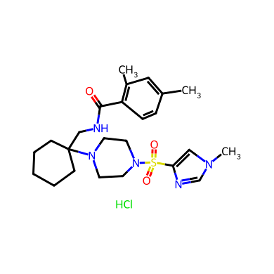 Cc1ccc(C(=O)NCC2(N3CCN(S(=O)(=O)c4cn(C)cn4)CC3)CCCCC2)c(C)c1.Cl